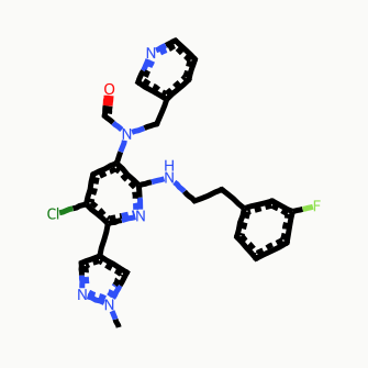 Cn1cc(-c2nc(NCCc3cccc(F)c3)c(N(C=O)Cc3cccnc3)cc2Cl)cn1